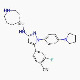 N#Cc1ccc(-c2cc(NC[C@@H]3CCCNCC3)nn2-c2ccc(N3CCCC3)cc2)cc1F